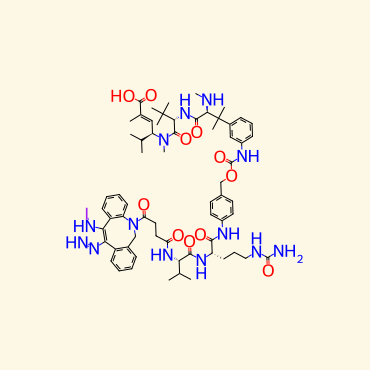 CN[C@H](C(=O)N[C@H](C(=O)N(C)[C@H](/C=C(\C)C(=O)O)C(C)C)C(C)(C)C)C(C)(C)c1cccc(NC(=O)OCc2ccc(NC(=O)[C@H](CCCNC(N)=O)NC(=O)[C@@H](NC(=O)CCC(=O)N3Cc4ccccc4/C(N=N)=C(/NI)c4ccccc43)C(C)C)cc2)c1